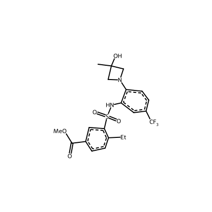 CCc1ccc(C(=O)OC)cc1S(=O)(=O)Nc1cc(C(F)(F)F)ccc1N1CC(C)(O)C1